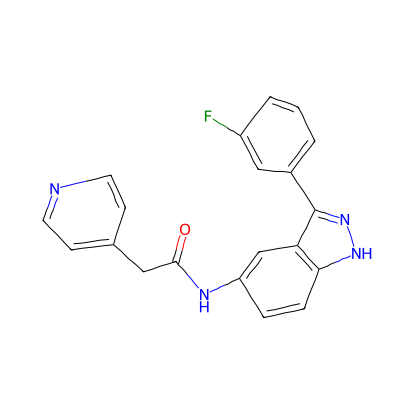 O=C(Cc1ccncc1)Nc1ccc2[nH]nc(-c3cccc(F)c3)c2c1